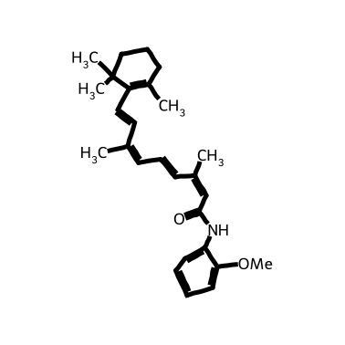 COc1ccccc1NC(=O)C=C(C)C=CC=C(C)C=CC1=C(C)CCCC1(C)C